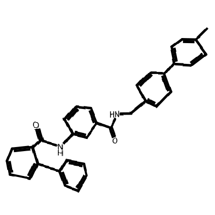 Cc1ccc(-c2ccc(CNC(=O)c3cccc(NC(=O)c4ccccc4-c4ccccc4)c3)cc2)cc1